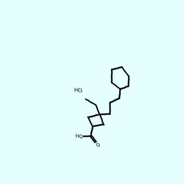 CCC1(CCCC2CCCCC2)CC(C(=O)O)C1.Cl